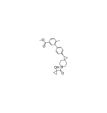 COC(=O)c1ccc(C)c(-c2ccc([C@H]3CC34CCN(C(=O)C3(O)CC3)CC4)cc2)c1